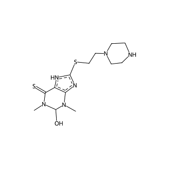 CN1C(=S)c2[nH]c(SCCN3CCNCC3)nc2N(C)C1O